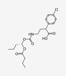 CCCC(=O)O[C@H](CCC)OC(=O)NCCC(C(=O)O)c1ccc(Cl)cc1